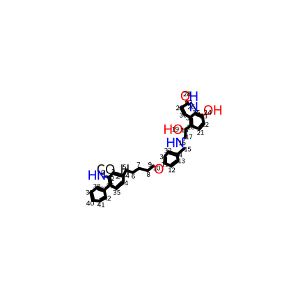 O=C(O)Nc1cc(CCCCCOc2ccc(CNC[C@H](O)c3ccc(O)c4[nH]c(=O)ccc34)cc2)ccc1-c1ccccc1